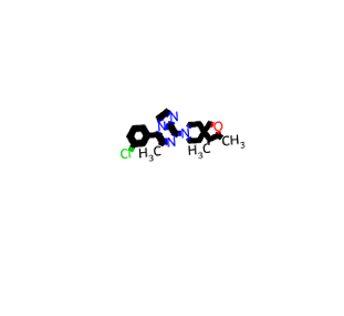 Cc1nc(N2CCC3(CC2)COC(C)[C@H]3C)c2nccn2c1-c1cccc(Cl)c1